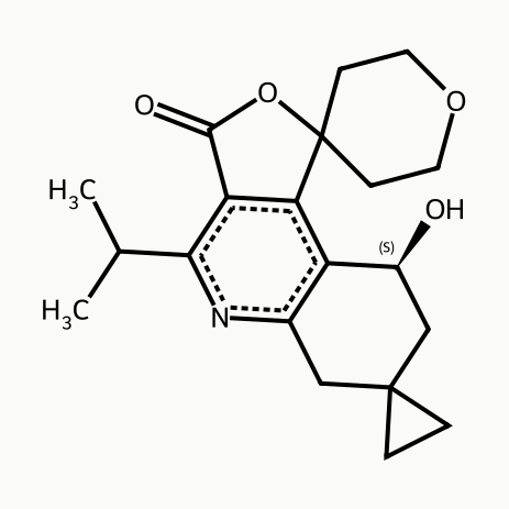 CC(C)c1nc2c(c3c1C(=O)OC31CCOCC1)[C@@H](O)CC1(CC1)C2